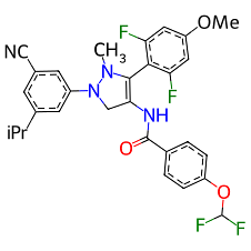 COc1cc(F)c(C2=C(NC(=O)c3ccc(OC(F)F)cc3)CN(c3cc(C#N)cc(C(C)C)c3)N2C)c(F)c1